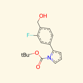 CC(C)(C)OC(=O)n1cccc1-c1ccc(CO)c(F)c1